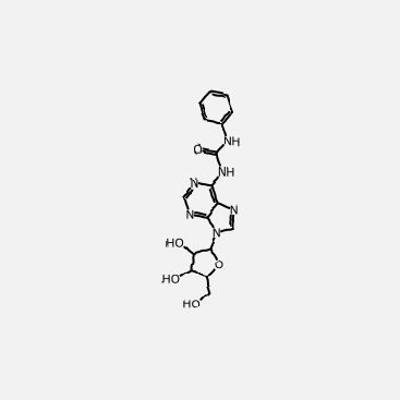 O=C(Nc1ccccc1)Nc1ncnc2c1ncn2C1OC(CO)C(O)C1O